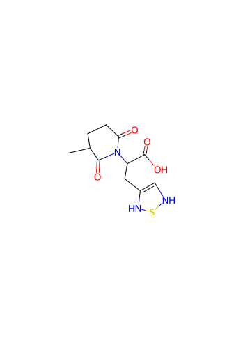 CC1CCC(=O)N(C(CC2=CNSN2)C(=O)O)C1=O